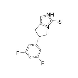 Fc1cc(F)cc([C@@H]2Cc3c[nH]c(=S)n3C2)c1